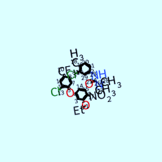 CCOc1cc(Oc2ccc(C(F)(F)F)cc2Cl)ccc1[N+](=O)[O-].Cc1ccc(NC(=O)N(C)C)cc1Cl